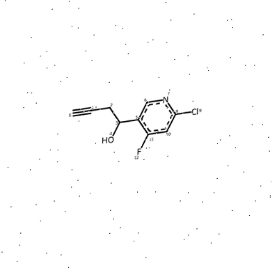 C#CCC(O)c1cnc(Cl)cc1F